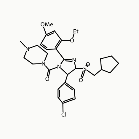 CCOc1cc(OC)ccc1C1=NC(S(=O)(=O)CC2CCCC2)C(c2ccc(Cl)cc2)N1C(=O)N1CCN(C)CC1